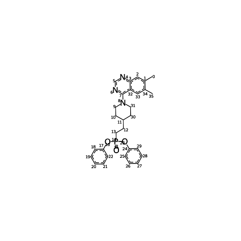 Cc1cc2ncnc(N3CCC(CCP(=O)(Oc4ccccc4)Oc4ccccc4)CC3)c2cc1C